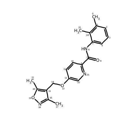 Cc1cccc(NC(=O)c2ccc(OCc3c(C)noc3C)cn2)c1C